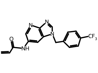 C=CC(=O)Nc1cnc2ncn(Cc3ccc(C(F)(F)F)cc3)c2c1